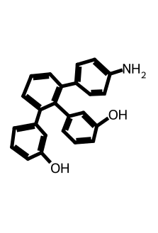 Nc1ccc(-c2cccc(-c3cccc(O)c3)c2-c2cccc(O)c2)cc1